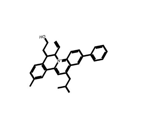 C=CC1C(CCO)c2ccc(C)cc2-c2cc(CC(C)C)c3cc(-c4ccccc4)ccc3[n+]21